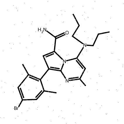 CCCN(CCC)c1cc(C)nc2c(-c3c(C)cc(Br)cc3C)cc(C(N)=O)n12